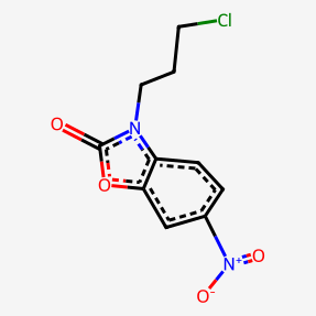 O=c1oc2cc([N+](=O)[O-])ccc2n1CCCCl